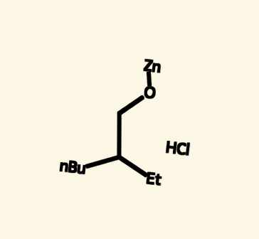 CCCCC(CC)C[O][Zn].Cl